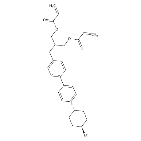 C=CC(=O)OCC(COC(=O)C=C)Cc1ccc(-c2ccc([C@H]3CC[C@H](CC)CC3)cc2)cc1